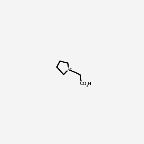 O=C(O)C[S+]1CCCC1